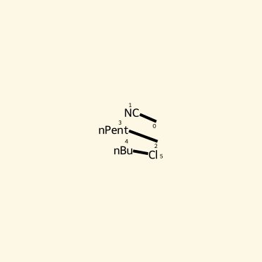 CC#N.CCCCCC.CCCCCl